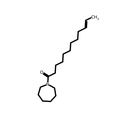 CC=CCCCCCCCCC(=O)N1CCCCCC1